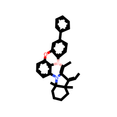 C/C=C1\C2=C(C)B3c4ccc(-c5ccccc5)cc4Oc4cccc(c43)N2C2(C)CCCCC12C